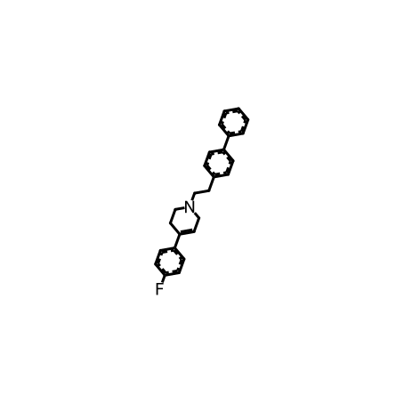 Fc1ccc(C2=CCN(CCc3ccc(-c4ccccc4)cc3)CC2)cc1